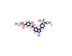 COC(=O)c1cccc(ON(C=O)c2ccc3[nH]cc(C4=CCN(C(C)C)CC4)c3c2)c1